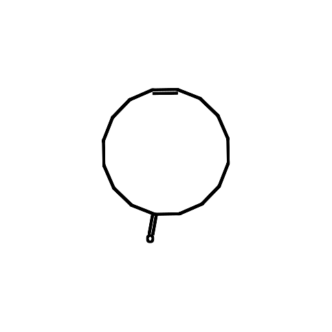 O=C1CCCCCCC=CCCCCCCC1